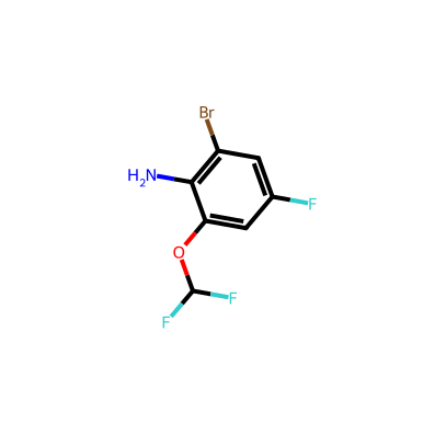 Nc1c(Br)cc(F)cc1OC(F)F